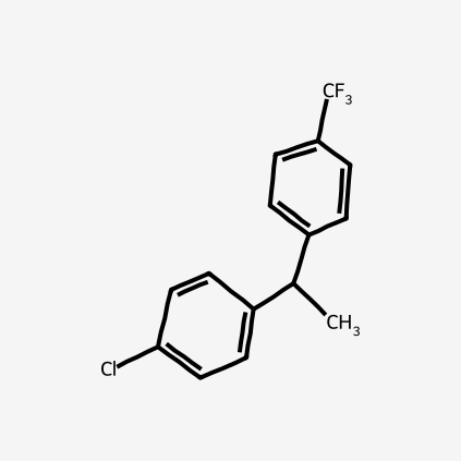 CC(c1ccc(Cl)cc1)c1ccc(C(F)(F)F)cc1